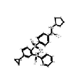 C[C@H](NC1CCCC1)c1ccc(S(=O)(=O)c2ccc(C3CC3)cc2S(=O)(=O)c2ccccn2)cc1